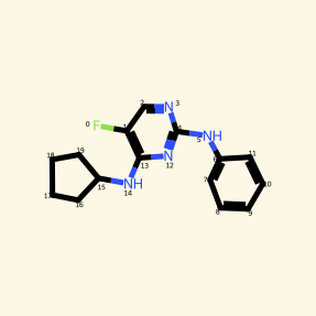 Fc1cnc(Nc2ccccc2)nc1NC1CCCC1